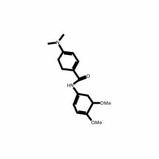 COC1=CC=C(NC(=O)C2=CC=C(N(C)C)CC2)CC1OC